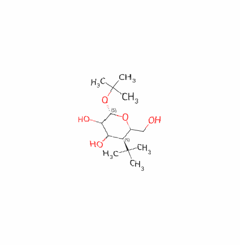 CC(C)(C)O[C@@H]1OC(CO)[C@@H](C(C)(C)C)C(O)C1O